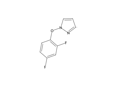 Fc1ccc(On2cc[c]n2)c(F)c1